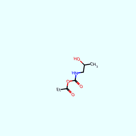 CCC(=O)OC(=O)NCC(C)O